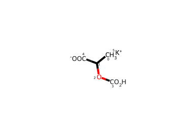 CC(OC(=O)O)C(=O)[O-].[K+]